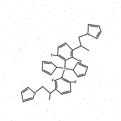 CC(Cn1cccc1)c1ccc(F)[c]([Ti]([c]2c(F)ccc(C(C)Cn3cccc3)c2F)([CH]2C=CC=C2)[CH]2C=CC=C2)c1F